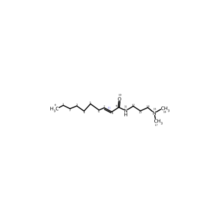 CCCCCCC/C=C/C(=O)NCCCN(C)C